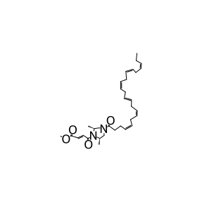 CC/C=C\C/C=C\C/C=C\CC=CC/C=C\C/C=C\CCC(=O)N1C[C@@H](C)N(C(=O)/C=C/C(=O)OC)[C@@H](C)C1